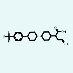 C=CCC(C(=O)O)C1CCC([C@H]2CC[C@H](c3ccc(C(F)(F)F)cc3)CC2)CC1